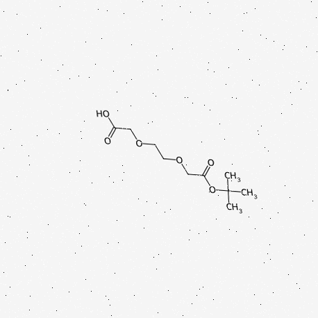 CC(C)(C)OC(=O)COCCOCC(=O)O